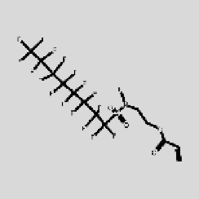 C=CC(=O)OCCN(F)S(=O)(=O)C(F)(F)C(F)(F)C(F)(F)C(F)(F)C(F)(F)C(F)(F)C(F)(F)C(F)(F)F